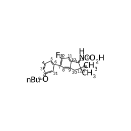 CCCCOc1cccc(-c2cc3c(cc2F)[C@H](NC(=O)O)C(C)(C)C3)c1